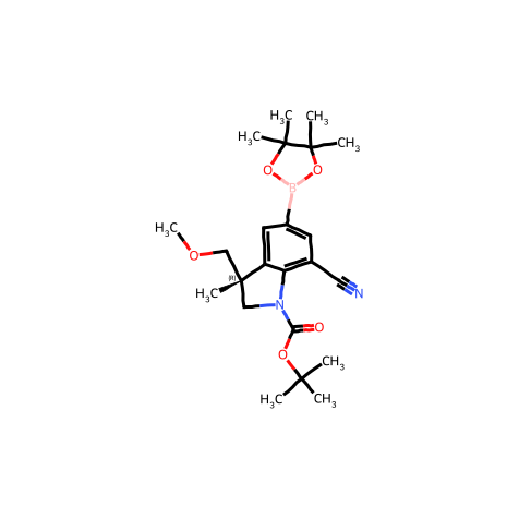 COC[C@@]1(C)CN(C(=O)OC(C)(C)C)c2c(C#N)cc(B3OC(C)(C)C(C)(C)O3)cc21